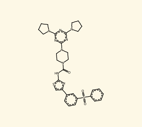 O=C(Nc1nc(-c2cccc(S(=O)(=O)c3ccccc3)c2)cs1)N1CCN(c2nc(N3CCCC3)nc(N3CCCC3)n2)CC1